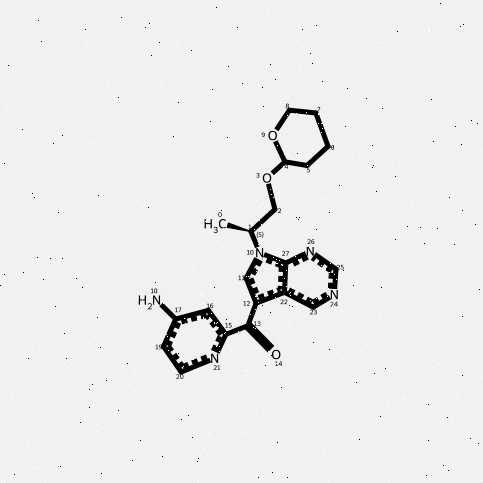 C[C@@H](COC1CCCCO1)n1cc(C(=O)c2cc(N)ccn2)c2cncnc21